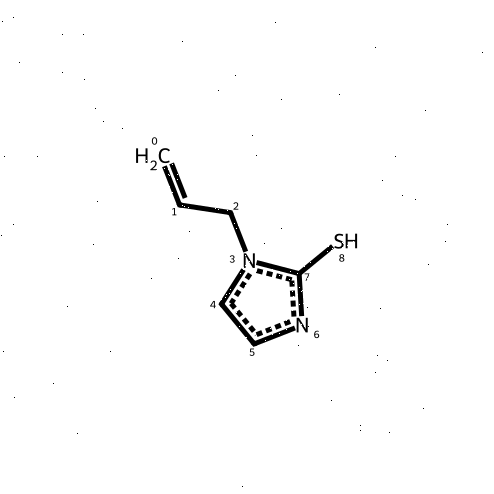 C=CCn1ccnc1S